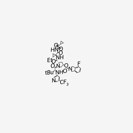 CC[C@@H]1C[C@]1(NC(=O)[C@@H]1C[C@@H](OC(=O)N2Cc3cccc(F)c3C2)CN1C(=O)[C@@H](Nc1cncc(C(F)(F)F)c1)C(C)(C)C)C(=O)NS(=O)(=O)C1CC1